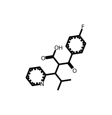 CC(C)C(c1ccccn1)C(C(=O)O)C(=O)c1ccc(F)cc1